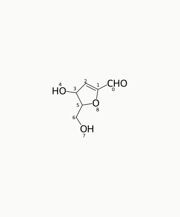 O=CC1=CC(O)C(CO)O1